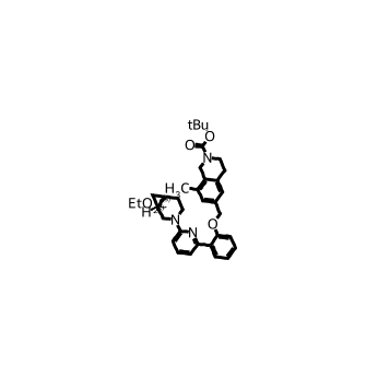 CCOC(=O)[C@@]12CCN(c3cccc(-c4ccccc4OCc4cc(C)c5c(c4)CCN(C(=O)OC(C)(C)C)C5)n3)C[C@@H]1C2